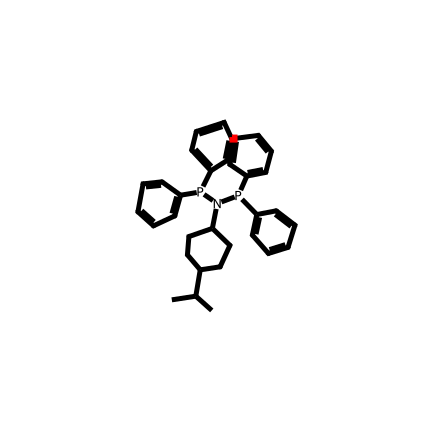 CC(C)C1CCC(N(P(c2ccccc2)c2ccccc2)P(c2ccccc2)c2ccccc2)CC1